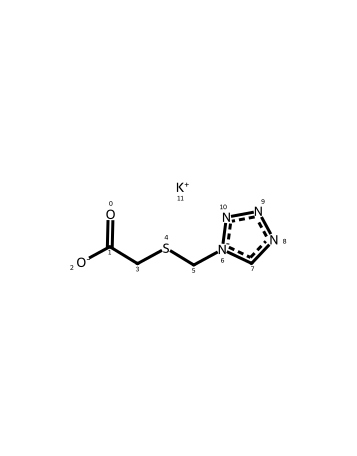 O=C([O-])CSCn1cnnn1.[K+]